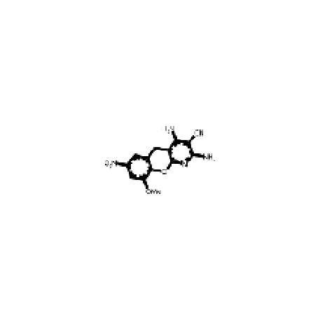 COc1cc([N+](=O)[O-])cc2c1Oc1nc(N)c(C#N)c(N)c1C2